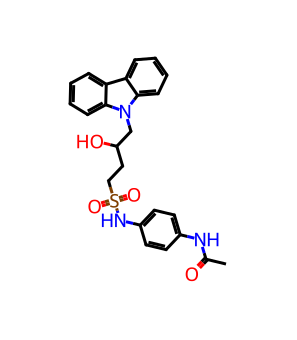 CC(=O)Nc1ccc(NS(=O)(=O)CCC(O)Cn2c3ccccc3c3ccccc32)cc1